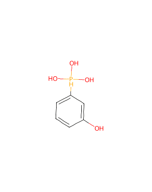 Oc1cccc([PH](O)(O)O)c1